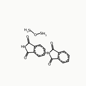 O=C1NC(=O)c2ccccc21.O=C1NC(=O)c2ccccc21.[SiH3]O[SiH3]